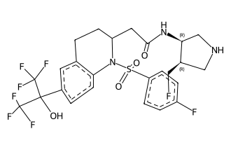 O=C(CC1CCc2cc(C(O)(C(F)(F)F)C(F)(F)F)ccc2N1S(=O)(=O)c1ccc(F)cc1)N[C@H]1CNC[C@H]1CF